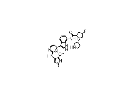 COc1nn(C)cc1Nc1nccc(-c2c[nH]c3c(NC(=O)[C@H]4C[C@H](F)CN4[C@H]4CCNC4)cccc23)n1